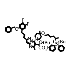 Cc1nc2cc(C=CCc3cc(F)c(F)cc3OCc3ccccc3)nn2c(N2CCC(C)(OCCCCC(C)O[Si](c3ccccc3)(c3ccccc3)C(C)(C)C)CC2)c1C(OC(C)(C)C)C(=O)O